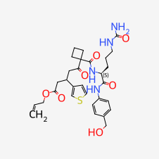 C=CCOC(=O)CC(CC(=O)C1(C(=O)N[C@@H](CCCNC(N)=O)C(=O)Nc2ccc(CO)cc2)CCC1)c1ccsc1